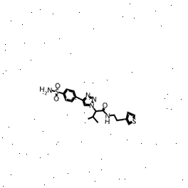 CC(C)C(C(=O)NCCc1ccsc1)n1cc(-c2ccc(S(N)(=O)=O)cc2)nn1